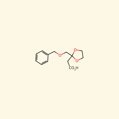 O=C(O)CC1(COCc2ccccc2)OCCO1